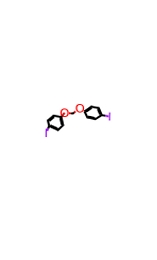 Ic1ccc(OCOc2ccc(I)cc2)cc1